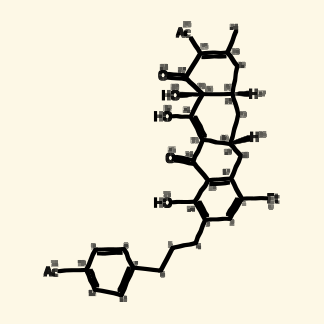 CCc1cc(CCCc2ccc(C(C)=O)cc2)c(O)c2c1C[C@H]1C[C@H]3CC(C)=C(C(C)=O)C(=O)[C@@]3(O)C(O)=C1C2=O